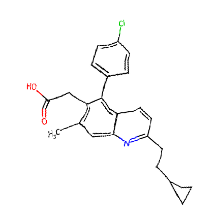 Cc1cc2nc(CCC3CC3)ccc2c(-c2ccc(Cl)cc2)c1CC(=O)O